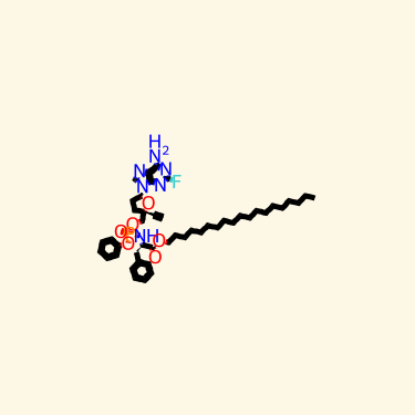 C#C[C@@]1(COP(=O)(N[C@@H](Cc2ccccc2)C(=O)OCCCCCCCCCCCCCCCCCCC)Oc2ccccc2)CC[C@H](n2cnc3c(N)nc(F)nc32)O1